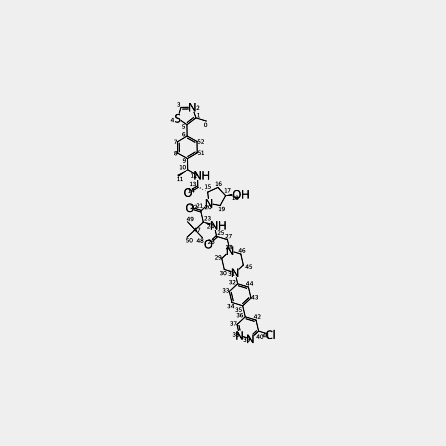 Cc1ncsc1-c1ccc([C@H](C)NC(=O)[C@@H]2C[C@@H](O)CN2C(=O)[C@@H](NC(=O)CN2CCN(c3ccc(-c4cnnc(Cl)c4)cc3)CC2)C(C)(C)C)cc1